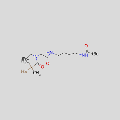 CC(C)CN(CC(=O)NCCCCNC(=O)C(C)(C)C)C(=O)S(C)(C)S